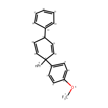 CCCC1(c2ccc(OC(F)(F)F)cc2)C=CC(c2ccccc2)C=C1